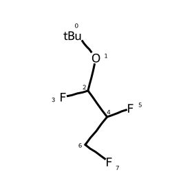 CC(C)(C)OC(F)C(F)CF